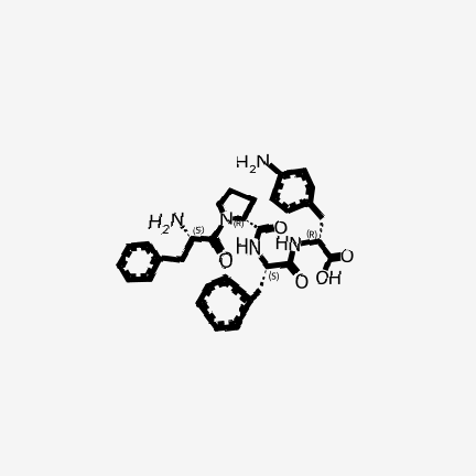 Nc1ccc(C[C@@H](NC(=O)[C@H](Cc2ccccc2)NC(=O)[C@H]2CCCN2C(=O)[C@@H](N)Cc2ccccc2)C(=O)O)cc1